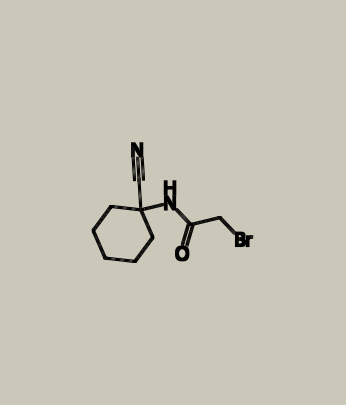 N#CC1(NC(=O)CBr)CCCCC1